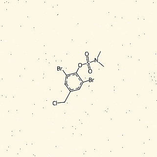 CN(C)S(=O)(=O)Oc1c(Br)cc(CCl)cc1Br